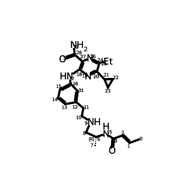 CC=CC(=O)N[C@H](C)CNCCc1cccc(Nc2nc(C3CC3)c(CC)nc2C(N)=O)c1